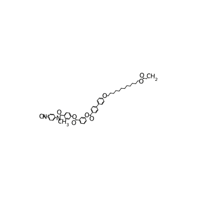 [C-]#[N+]c1ccc(N(C)C(=O)c2ccc(OC(=O)c3cccc(OC(=O)c4ccc(-c5ccc(OCCCCCCCCCCCCOC(=O)C=C)cc5)cc4)c3)cc2)cc1